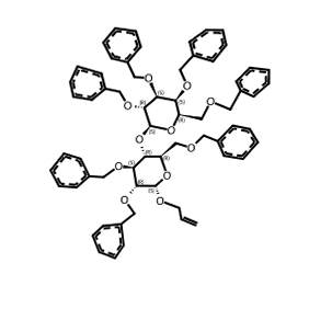 C=CCO[C@H]1O[C@H](COCc2ccccc2)[C@@H](O[C@@H]2O[C@H](COCc3ccccc3)[C@H](OCc3ccccc3)[C@H](OCc3ccccc3)[C@H]2OCc2ccccc2)[C@H](OCc2ccccc2)[C@H]1OCc1ccccc1